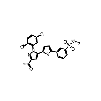 CC(=O)c1cc(-c2ccc(-c3cccc(S(N)(=O)=O)c3)s2)n(-c2cc(Cl)ccc2Cl)n1